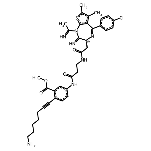 COC(=O)c1cc(NC(=O)CCNC(=O)C[C@@H]2N=C(c3ccc(Cl)cc3)c3c(sc(C)c3C)N(C(C)=N)C2=N)ccc1C#CCCCCCN